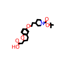 CC(C)(C)OC(=O)N1CCC(CCOc2ccc3c(c2)CCC(CC(=O)O)O3)CC1